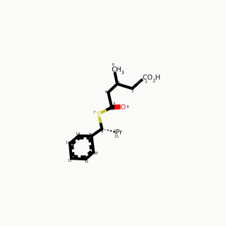 CC(CC(=O)O)CC(=O)S[C@@H](c1ccccc1)C(C)C